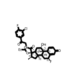 CCC(=O)O[C@]1(C(=O)SCC(=O)c2ccc(F)c(Cl)c2)[C@H](C)C[C@H]2[C@@H]3C[C@H](F)C4=CC(=O)C=C[C@]4(C)[C@@]3(F)[C@@H](O)C[C@@]21C